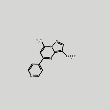 CCOC(=O)c1cnn2c(C)cc(-c3ccncc3)nc12